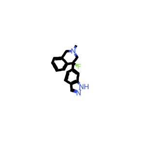 CN1Cc2ccccc2C(F)(c2ccc3cn[nH]c3c2)C1